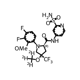 [2H]C([2H])([2H])O[C@@]1(C(F)(F)F)C[C@H](C(=O)Nc2ccnc(S(N)(=O)=O)c2)N(c2ccc(F)c(F)c2OC)C1